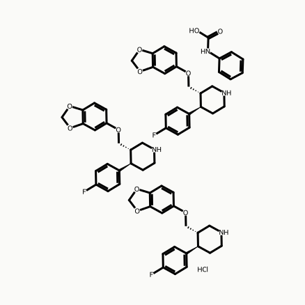 Cl.Fc1ccc([C@@H]2CCNC[C@H]2COc2ccc3c(c2)OCO3)cc1.Fc1ccc([C@@H]2CCNC[C@H]2COc2ccc3c(c2)OCO3)cc1.Fc1ccc([C@@H]2CCNC[C@H]2COc2ccc3c(c2)OCO3)cc1.O=C(O)Nc1ccccc1